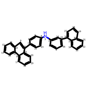 c1cc(Nc2ccc(-c3cc4ccccc4c4ccccc34)cc2)cc(-c2cccc3ccccc23)c1